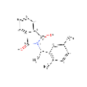 Cc1ccc(C)c(C(C)N2C(=O)c3ccccc3C2=O)c1